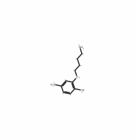 N#Cc1ccc(N)cc1OCCCCN